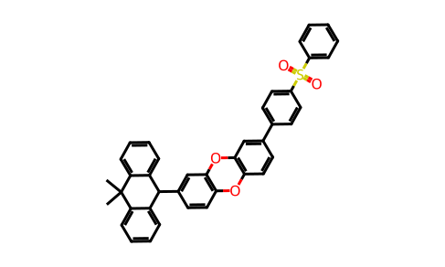 CC1(C)c2ccccc2C(c2ccc3c(c2)Oc2cc(-c4ccc(S(=O)(=O)c5ccccc5)cc4)ccc2O3)c2ccccc21